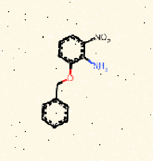 Nc1c(OCc2ccccc2)cccc1[N+](=O)[O-]